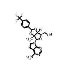 C[C@@]12OC(c3ccc(C(F)(F)F)cc3)O[C@@H]1[C@@H](CO)O[C@H]2n1cnc2c(N)ncnc21